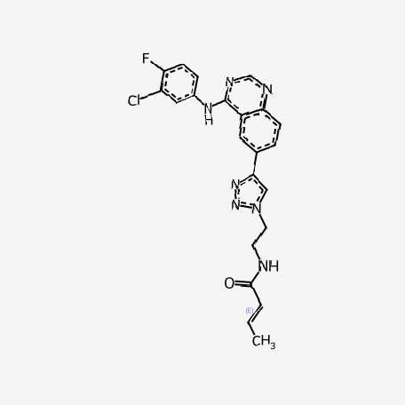 C/C=C/C(=O)NCCn1cc(-c2ccc3ncnc(Nc4ccc(F)c(Cl)c4)c3c2)nn1